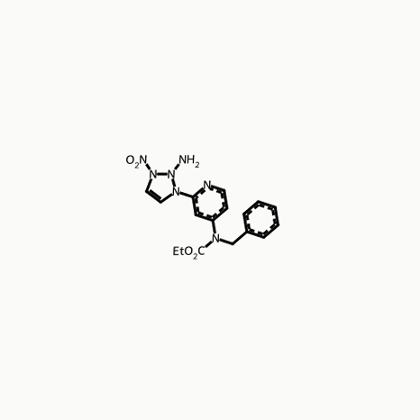 CCOC(=O)N(Cc1ccccc1)c1ccnc(N2C=CN([N+](=O)[O-])N2N)c1